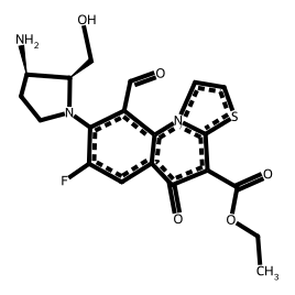 CCOC(=O)c1c(=O)c2cc(F)c(N3CC[C@@H](N)[C@H]3CO)c(C=O)c2n2ccsc12